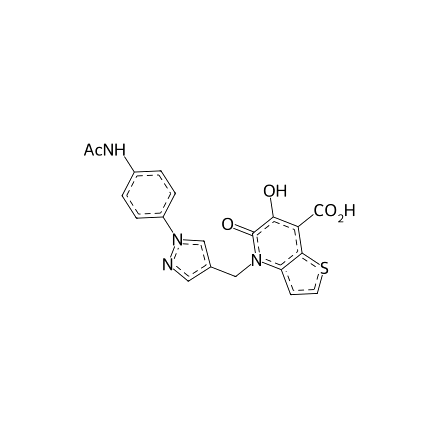 CC(=O)Nc1ccc(-n2cc(Cn3c(=O)c(O)c(C(=O)O)c4sccc43)cn2)cc1